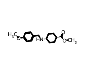 COc1ccc(CN[C@H]2CC[C@H](C(=O)OC)CC2)cc1